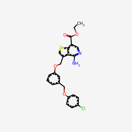 CCOC(=O)c1cnc(N)c2c(COc3cccc(COc4ccc(Cl)cc4)c3)csc12